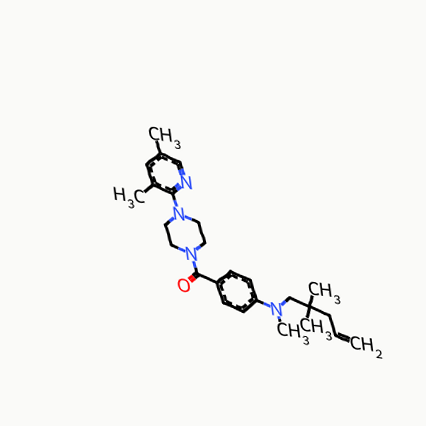 C=CCC(C)(C)CN(C)c1ccc(C(=O)N2CCN(c3ncc(C)cc3C)CC2)cc1